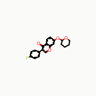 O=c1c(-c2ccc(F)cc2)coc2cc(OC3CCCCO3)ccc12